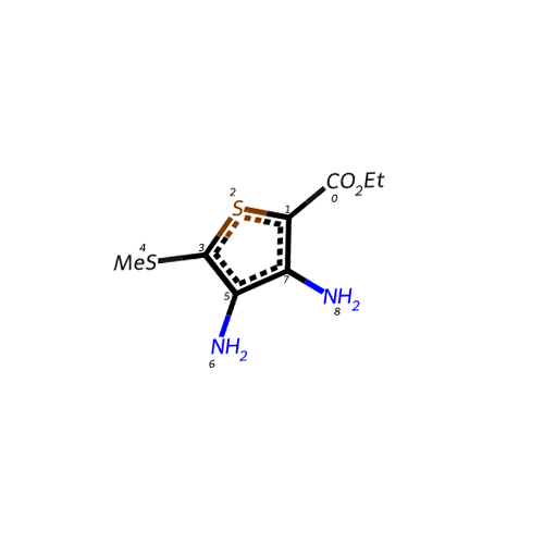 CCOC(=O)c1sc(SC)c(N)c1N